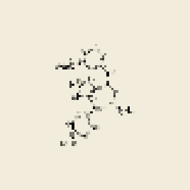 COc1cccc(OCCCN)c1-c1cc([AsH]c2cnc(C#N)cn2)n[nH]1